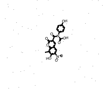 Cc1c(O)c([N+](=O)[O-])cc2cc(C(=O)N(C(=O)O)c3ccc(O)cc3)c(=O)oc12